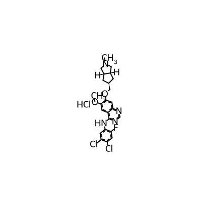 COc1cc2c(Nc3cc(Cl)c(Cl)cc3F)ncnc2cc1OC[C@H]1C[C@@H]2CN(C)C[C@@H]2C1.Cl